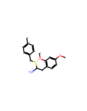 COc1ccc(CC(N)SCc2ccc(C)cc2)c(OC)c1